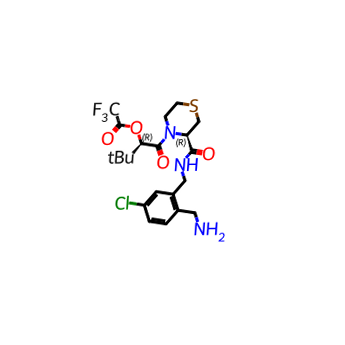 CC(C)(C)[C@@H](OC(=O)C(F)(F)F)C(=O)N1CCSC[C@H]1C(=O)NCc1cc(Cl)ccc1CN